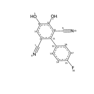 N#Cc1cc(O)c(O)c(C#N)c1-c1ccc(F)cc1